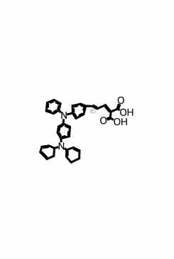 O=C(O)C(=C/C=C/c1ccc(N(c2ccccc2)c2ccc(N(C3=CCCC=C3)C3C=CC=CC3)cc2)cc1)C(=O)O